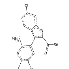 N.O=C(O)c1sc2cc(Cl)ccc2c1-c1cc(Cl)c(F)cc1F